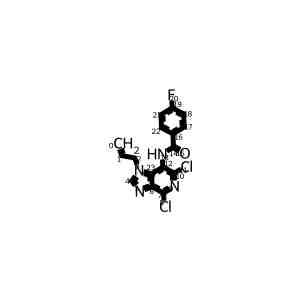 C=CCn1cnc2c(Cl)nc(Cl)c(NC(=O)c3ccc(F)cc3)c21